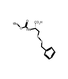 CC(C)(C)OC(=O)N[C@@H](CSSCc1ccccc1)C(=O)O